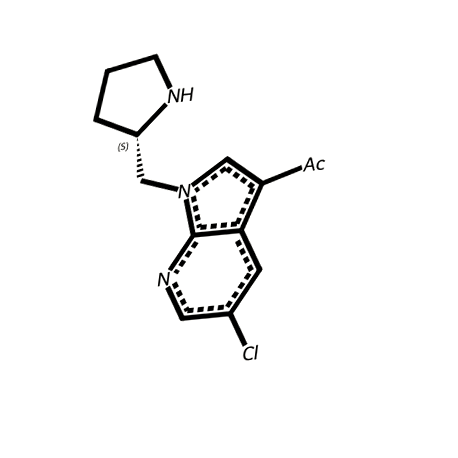 CC(=O)c1cn(C[C@@H]2CCCN2)c2ncc(Cl)cc12